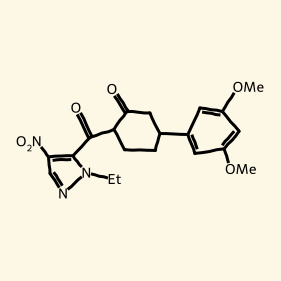 CCn1ncc([N+](=O)[O-])c1C(=O)C1CCC(c2cc(OC)cc(OC)c2)CC1=O